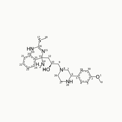 COc1ccc(C2CN(C[C@@H](O)CC3(N)N=C(SC)Nc4ccccc43)CCN2)cc1